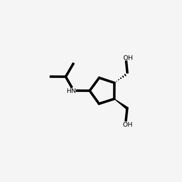 CC(C)NC1C[C@H](CO)[C@@H](CO)C1